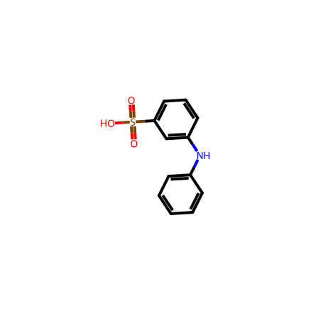 O=S(=O)(O)c1cccc(Nc2ccccc2)c1